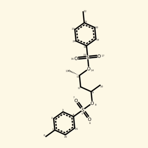 Cc1ccc(S(=O)(=O)OC(C)C[C@H](C)OS(=O)(=O)c2ccc(C)cc2)cc1